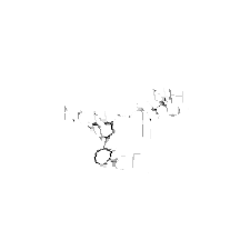 CC(C)(NCCCc1cc(-c2cccc(C(F)(F)F)c2)nc(C#N)n1)C(N)=O